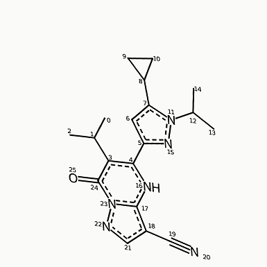 CC(C)c1c(-c2cc(C3CC3)n(C(C)C)n2)[nH]c2c(C#N)cnn2c1=O